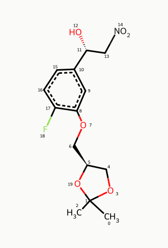 CC1(C)OC[C@H](COc2cc([C@H](O)C[N+](=O)[O-])ccc2F)O1